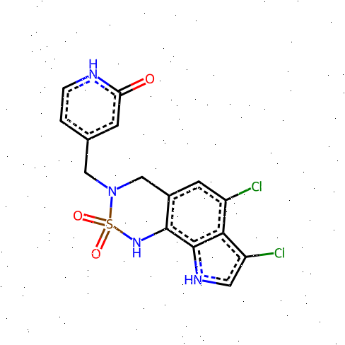 O=c1cc(CN2Cc3cc(Cl)c4c(Cl)c[nH]c4c3NS2(=O)=O)cc[nH]1